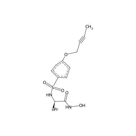 CC#CCOc1ccc(S(=O)(=O)N[C@H](CCC)C(=O)NO)cc1